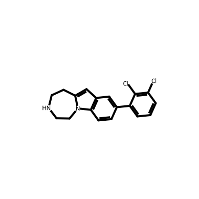 Clc1cccc(-c2ccc3c(c2)cc2n3CCNCC2)c1Cl